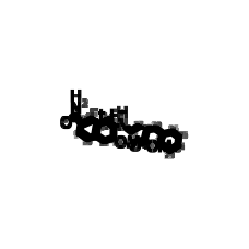 CCC1(CC)c2cc(C(N)=O)ccc2C[C@@H](OC)[C@@H]1NCC[C@@H](CC1CCCCC1)C(=O)OC